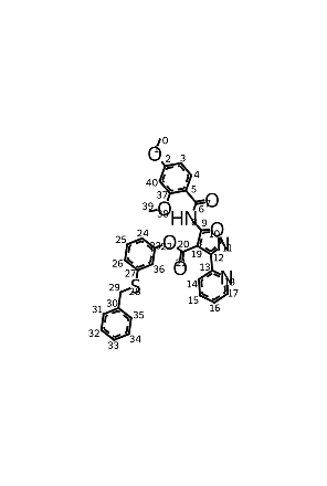 COc1ccc(C(=O)Nc2onc(-c3ccccn3)c2C(=O)Oc2cccc(SCc3ccccc3)c2)c(OC)c1